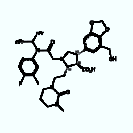 CCCC(CCC)N(C(=O)CN1C[C@H](c2cc(CO)c3c(c2)OCO3)[C@@H](C(=O)O)[C@@H]1CCN1CCCN(C)C1=O)c1ccc(F)c(C)c1